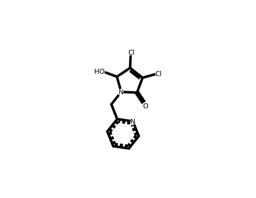 O=C1C(Cl)=C(Cl)C(O)N1Cc1ccccn1